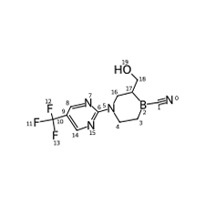 N#CB1CCN(c2ncc(C(F)(F)F)cn2)CC1CO